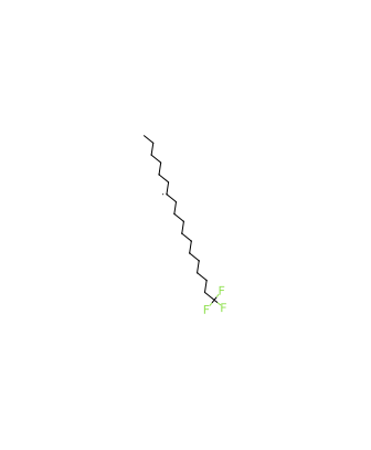 CCCCCC[CH]CCCCCCCCCCC(F)(F)F